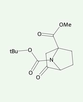 COC(=O)C12CCC(C(=O)C1)N2C(=O)OC(C)(C)C